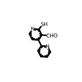 O=Cc1c(-c2ccccn2)ccnc1S